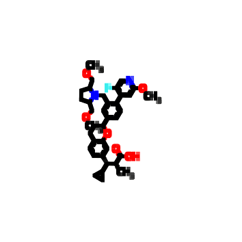 COCC1CCC(COC)N1Cc1cc(C2CCc3ccc([C@H](C4CC4)[C@H](C)C(=O)O)cc3O2)ccc1-c1cc(OC)ncc1F